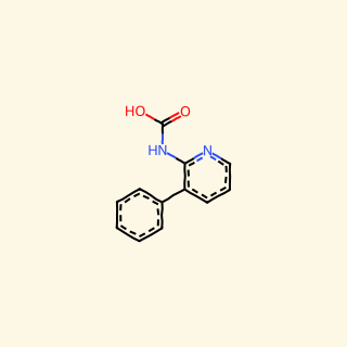 O=C(O)Nc1ncccc1-c1ccccc1